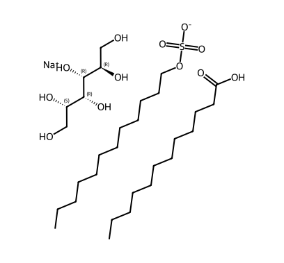 CCCCCCCCCCCC(=O)O.CCCCCCCCCCCCOS(=O)(=O)[O-].OC[C@@H](O)[C@@H](O)[C@H](O)[C@@H](O)CO.[Na+]